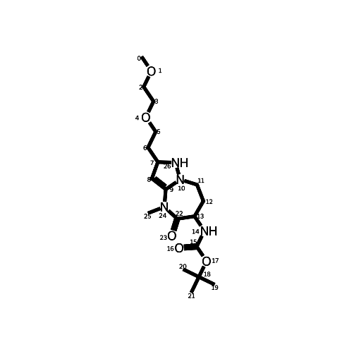 COCCOCCC1C=C2N(CCC(NC(=O)OC(C)(C)C)C(=O)N2C)N1